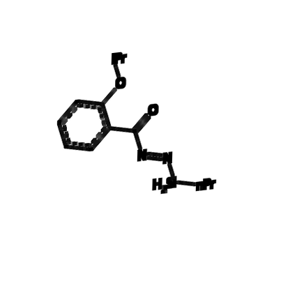 CCC[SiH2]N=NC(=O)c1ccccc1OC(C)C